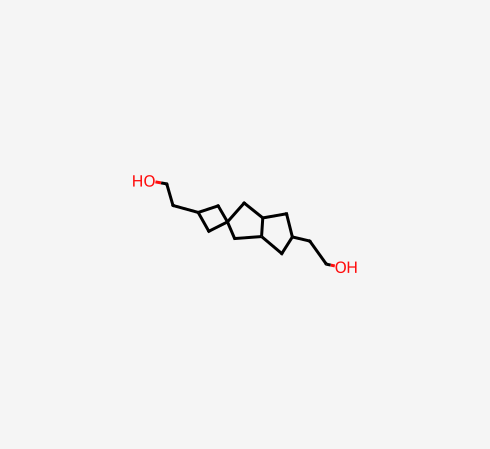 OCCC1CC2CC3(CC(CCO)C3)CC2C1